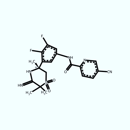 CC1(C)C(=N)N[C@](C)(c2cc(NC(=O)c3ccc(C#N)cn3)cc(F)c2F)CS1(=O)=O